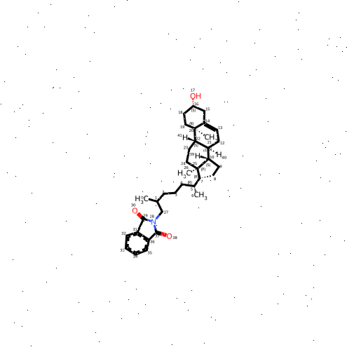 CC(CCC[C@@H](C)[C@H]1CC[C@H]2[C@@H]3CC=C4C[C@@H](O)CC[C@]4(C)[C@H]3CC[C@]12C)CN1C(=O)c2ccccc2C1=O